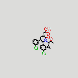 CC(=O)[C@H](C1CC1)N1C(=O)[C@@H](CC(=O)O)C[C@H](c2cccc(Cl)c2)[C@H]1c1ccc(Cl)cc1